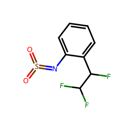 O=S(=O)=Nc1ccccc1C(F)C(F)F